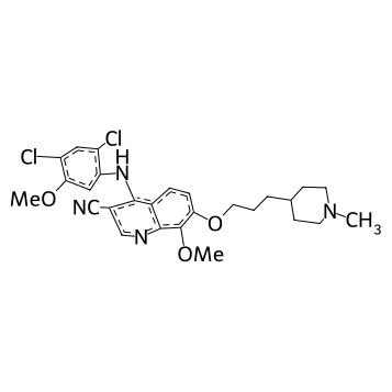 COc1cc(Nc2c(C#N)cnc3c(OC)c(OCCCC4CCN(C)CC4)ccc23)c(Cl)cc1Cl